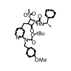 COc1ccc(CN(C(=O)OC(C)(C)C)c2cc(CC3C(=O)N(C(=O)N[C@H](C)c4ccccc4)[C@@H]3S(C)(=O)=O)ccn2)cc1